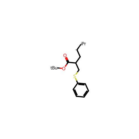 CC(C)[CH]CC(CSc1ccccc1)C(=O)OC(C)(C)C